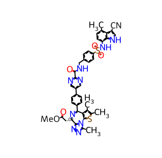 COC(=O)C[C@@H]1N=C(c2ccc(-c3cnc(C(=O)NCc4ccc(S(=O)(=O)Nc5ccc(C)c6c(C#N)c[nH]c56)cc4)nc3)cc2)c2c(sc(C)c2C)-n2c(C)nnc21